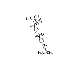 CN(C)C1CCN(c2ccc(NC(=O)c3ccc(NC(=O)CC(C)(C)C)cc3)cc2)C1